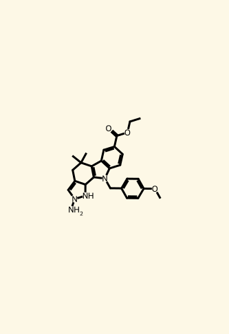 CCOC(=O)c1ccc2c(c1)c1c(n2Cc2ccc(OC)cc2)C2NN(N)C=C2CC1(C)C